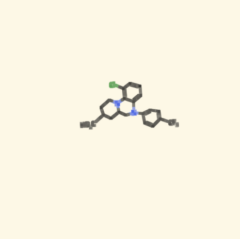 O=C(O)C1CCN2c3c(Cl)cccc3N(c3ccc(C(F)(F)F)cc3)CC2C1